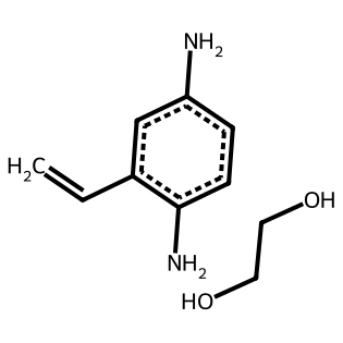 C=Cc1cc(N)ccc1N.OCCO